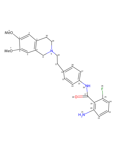 COc1cc2c(cc1OC)CN(CCc1ccc(NC(=O)c3c(N)cccc3F)cc1)CC2